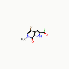 Cn1cc(Br)c2cc(C(=O)Cl)[nH]c2c1=O